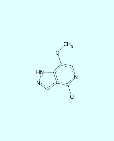 COc1cnc(Cl)c2cn[nH]c12